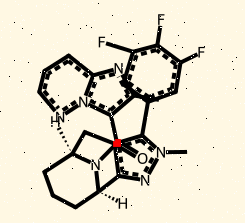 Cc1nc2cccnn2c1C(=O)N1[C@H]2CCC[C@@H]1c1nn(C)c(-c3cc(F)c(F)c(F)c3)c1C2